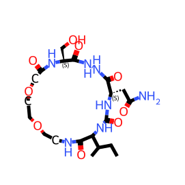 CCC(C)C1NC(=O)N[C@@H](CC(N)=O)C(=O)NNC(=O)[C@H](CO)NC(=O)COCCOCCNC1=O